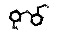 Nc1cccc(Oc2ccccc2OP)n1